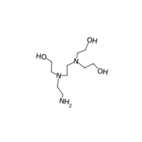 NCCN(CCO)CCN(CCO)CCO